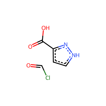 O=C(O)c1cc[nH]n1.O=CCl